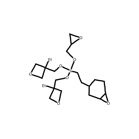 CCC1(CO[Si](CCC2CCC3OC3C2)(OCC2CO2)OCC2(CC)COC2)COC1